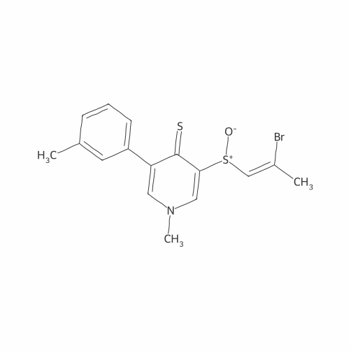 CC(Br)=C[S+]([O-])c1cn(C)cc(-c2cccc(C)c2)c1=S